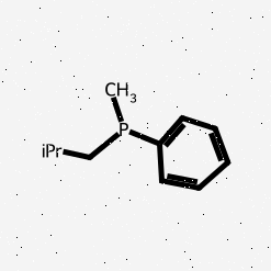 CC(C)CP(C)c1ccccc1